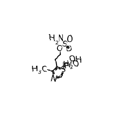 CC(C)O.Cc1ncsc1CCOS(N)(=O)=O.O